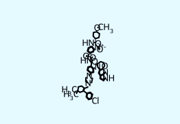 CO[C@H]1CC[C@@H](CNc2ccc(S(=O)(=O)NC(=O)c3ccc(N4CCN(CC5=C(c6ccc(Cl)cc6)CC(C)(C)CC5)CC4)cc3N3CCCOc4nc5[nH]ccc5cc43)cc2[N+](=O)[O-])CC1